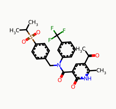 CC(=O)c1cc(C(=O)N(Cc2ccc(S(=O)(=O)C(C)C)cc2)c2cccc(C(F)(F)F)c2)c(=O)[nH]c1C